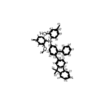 COc1cc(C)ccc1N(c1ccc(-c2ccc3c(c2)C(C)(C)c2ccccc2-3)c(-c2ccccc2)c1)c1ccc(C)cc1O